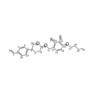 C=Cc1ccc(C2CCC(OCc3ccc(OCCCC)c(F)c3F)OC2)cc1